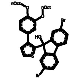 CCCCCCCCOc1ccc(-c2ccsc2C2(O)c3cc(Br)ccc3-c3ccc(Br)cc32)cc1OCCCCCCCC